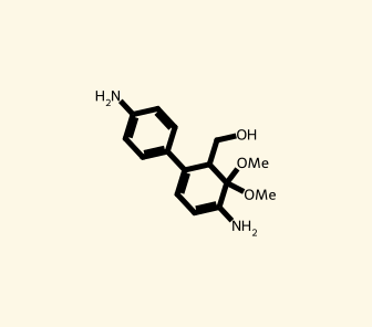 COC1(OC)C(N)=CC=C(c2ccc(N)cc2)C1CO